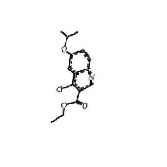 CCOC(=O)c1cnc2ccc(OC(C)C)cc2c1Cl